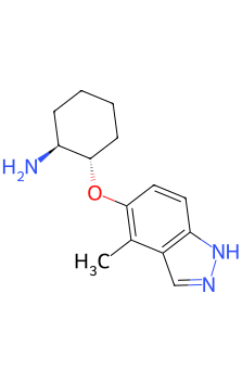 Cc1c(O[C@H]2CCCC[C@@H]2N)ccc2[nH]ncc12